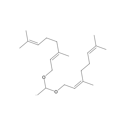 [CH2]C(OCC=C(C)CCC=C(C)C)OCC=C(C)CCC=C(C)C